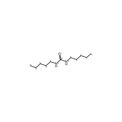 [CH2]CCCCNC(=O)NCCCCC